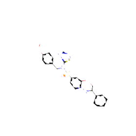 COc1ccc(CN(c2ncns2)S(=O)(=O)c2ccc3c(c2)OCC(c2ccccc2)N3)cc1